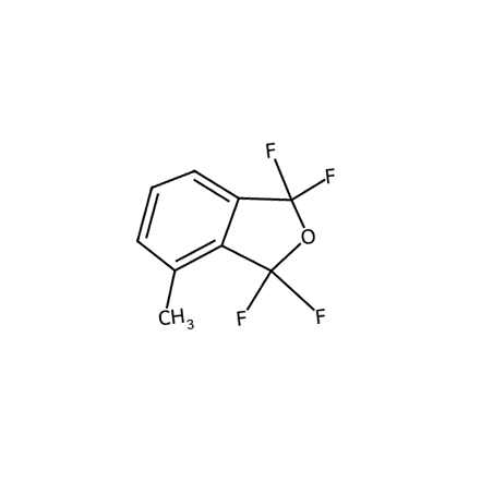 Cc1cccc2c1C(F)(F)OC2(F)F